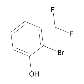 F[CH]F.Oc1ccccc1Br